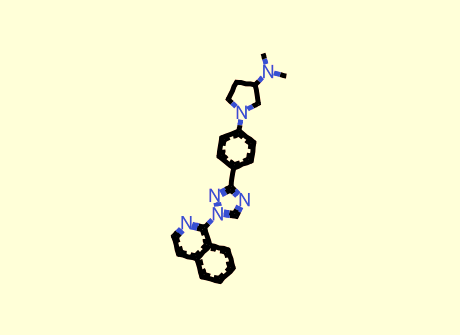 CN(C)C1CCN(c2ccc(-c3ncn(-c4nccc5ccccc45)n3)cc2)C1